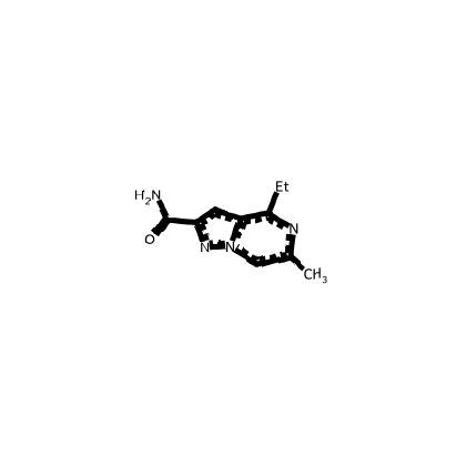 CCc1nc(C)cn2nc(C(N)=O)cc12